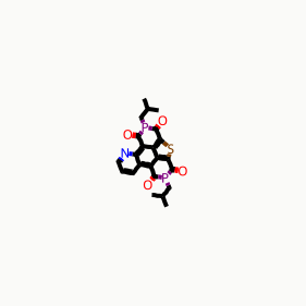 CC(C)CP1C(=O)c2sc3c4c(c5ncccc5c(c24)C1=O)C(=O)P(CC(C)C)C3=O